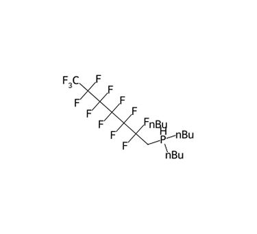 CCCC[PH](CCCC)(CCCC)CC(F)(F)C(F)(F)C(F)(F)C(F)(F)C(F)(F)C(F)(F)F